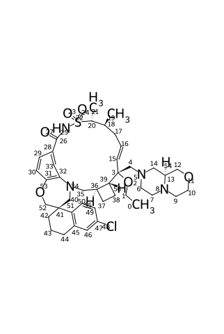 CCO[C@@]1(CN2CCN3CCOC[C@@H]3C2)/C=C/C[C@H](C)[C@@H](C)S(=O)(=O)NC(=O)c2ccc3c(c2)N(C[C@@H]2CC[C@H]21)C[C@@]1(CCCc2cc(Cl)ccc21)CO3